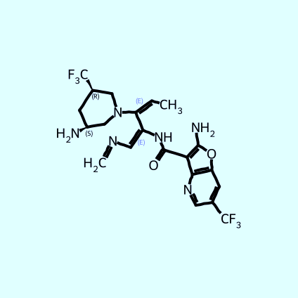 C=N/C=C(NC(=O)c1c(N)oc2cc(C(F)(F)F)cnc12)\C(=C/C)N1C[C@@H](N)C[C@@H](C(F)(F)F)C1